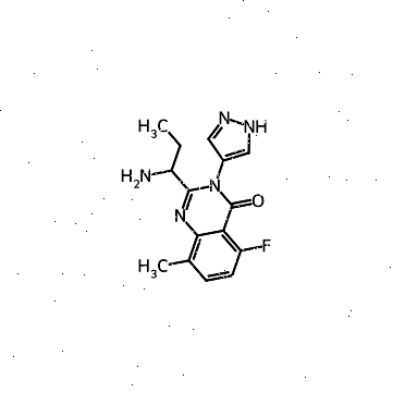 CCC(N)c1nc2c(C)ccc(F)c2c(=O)n1-c1cn[nH]c1